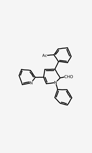 CC(=O)c1ccccc1C1=CC(c2ccccn2)=CN(c2ccccc2)C1C=O